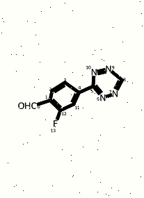 O=Cc1ccc(-c2nncnn2)cc1F